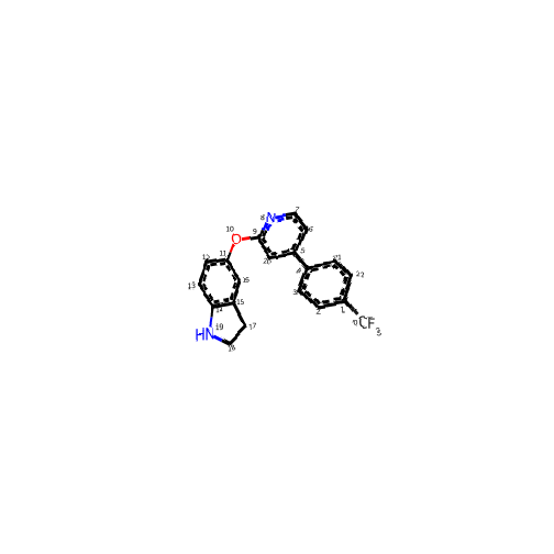 FC(F)(F)c1ccc(-c2ccnc(Oc3ccc4c(c3)CCN4)c2)cc1